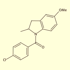 COc1ccc2c(c1)C[C](C)N2C(=O)c1ccc(Cl)cc1